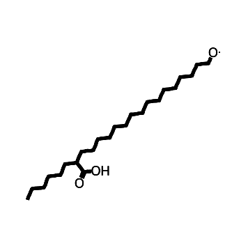 CCCCCCC(CCCCCCCCCCCCCCCC[O])C(=O)O